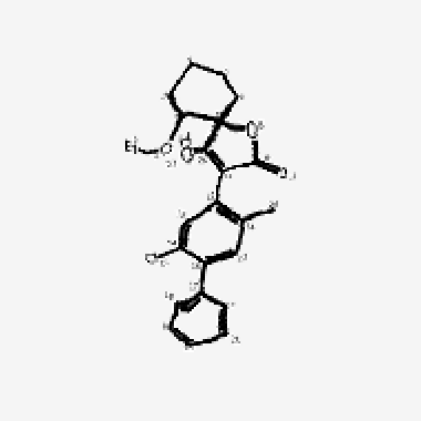 CCOC1CCCCC12OC(=O)C(c1cc(Cl)c(-c3ccccc3)cc1C)=C2O